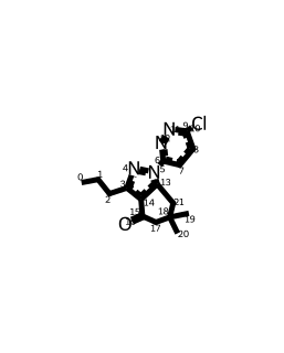 CCCc1nn(-c2ccc(Cl)nn2)c2c1C(=O)CC(C)(C)C2